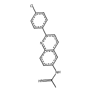 CC(=N)Nc1ccc2nc(-c3ccc(Cl)cc3)ccc2c1